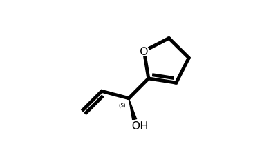 C=C[C@H](O)C1=CCCO1